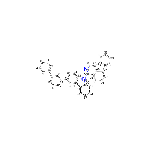 c1ccc(-c2cccc(-c3ccc4c(c3)c3ccccc3n4-c3ncc4c5c(cccc35)-c3ccccc3-4)c2)cc1